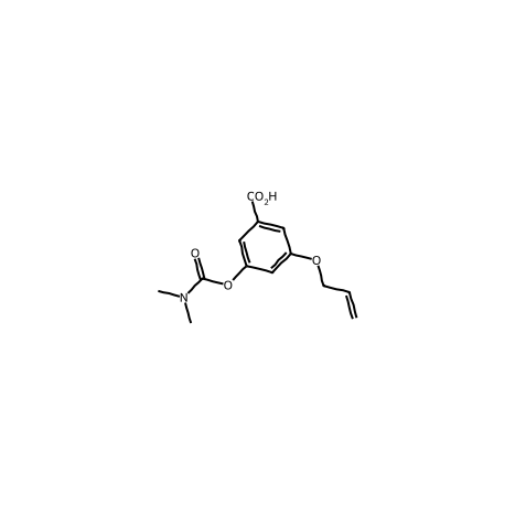 C=CCOc1cc(OC(=O)N(C)C)cc(C(=O)O)c1